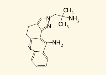 CC(C)(N)Cn1cc2c(n1)-c1c(nc3ccccc3c1N)CC2